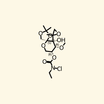 CCN(Cl)C(=O)O[C@@H]1CO[C@]2(COC(C)(C)O2)[C@@](O)(C2(C)CO2)[C@@H]1OC